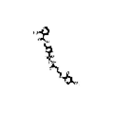 Nc1ncccc1C(=O)NCc1ccc(S(=O)(=O)NNC(=O)CCCNc2ncc(C(F)(F)F)cc2Cl)s1